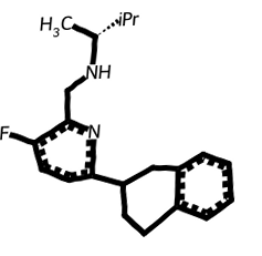 CC(C)[C@@H](C)NCc1nc(C2CCc3ccccc3C2)ccc1F